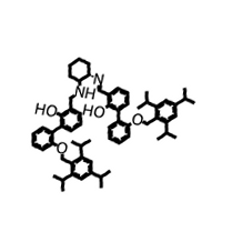 CC(C)c1cc(C(C)C)c(COc2ccccc2-c2cccc(/C=N/[C@H]3CCCCC3NCc3cccc(-c4ccccc4OCc4c(C(C)C)cc(C(C)C)cc4C(C)C)c3O)c2O)c(C(C)C)c1